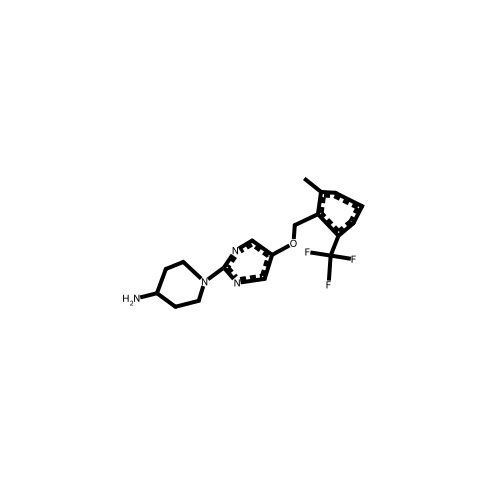 Cc1cccc(C(F)(F)F)c1COc1cnc(N2CCC(N)CC2)nc1